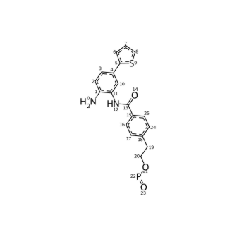 Nc1ccc(-c2cccs2)cc1NC(=O)c1ccc(CCOP=O)cc1